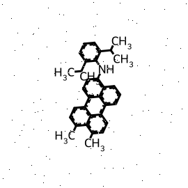 Cc1ccc2c3cccc4c(Nc5c(C(C)C)cccc5C(C)C)ccc(c5ccc(C)c1c25)c43